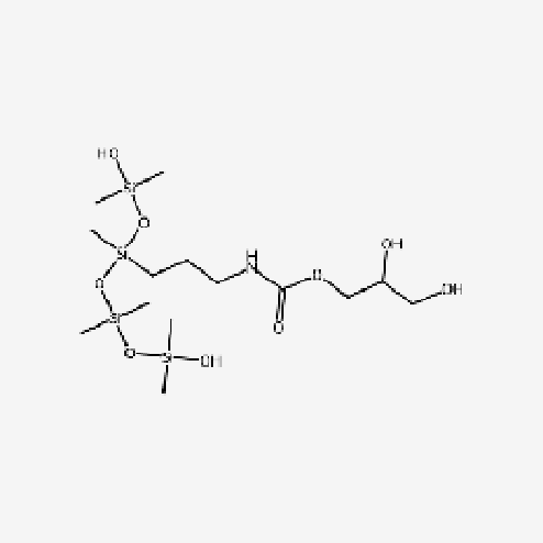 C[Si](C)(O)O[Si](C)(C)O[Si](C)(CCCNC(=O)OCC(O)CO)O[Si](C)(C)O